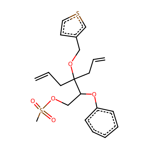 C=CCC(CC=C)(OCc1ccsc1)C(COS(C)(=O)=O)Oc1ccccc1